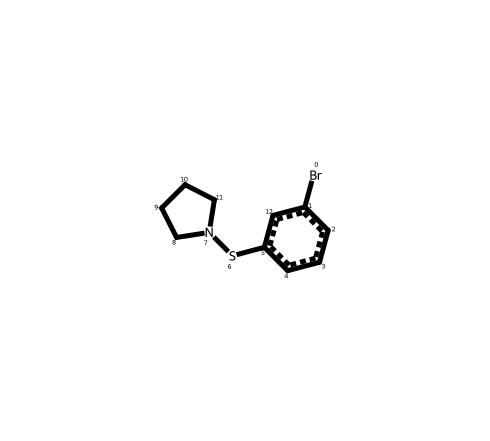 Brc1cccc(SN2CCCC2)c1